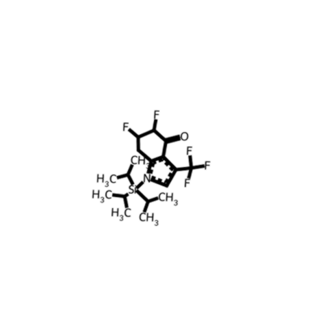 CC(C)[Si](C(C)C)(C(C)C)n1cc(C(F)(F)F)c2c1CC(F)C(F)C2=O